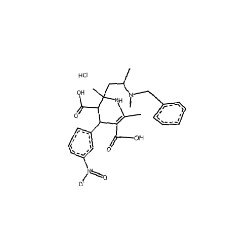 CC1=C(C(=O)O)C(c2cccc([N+](=O)[O-])c2)C(C(=O)O)C(C)(CC(C)N(C)Cc2ccccc2)N1.Cl